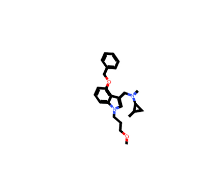 COCCCn1cc(CN(C)C2CC2C)c2c(OCc3ccccc3)cccc21